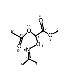 COC(=O)C(ON=C(C)C)OC(C)=O